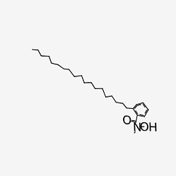 CCCCCCCCCCCCCCCCCCCc1ccccc1C(=O)N(C)O